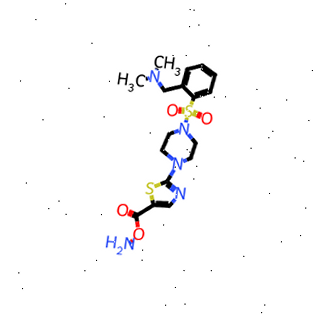 CN(C)Cc1ccccc1S(=O)(=O)N1CCN(c2ncc(C(=O)ON)s2)CC1